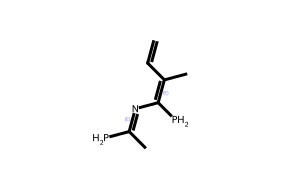 C=C/C(C)=C(P)\N=C(/C)P